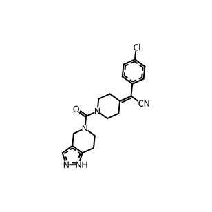 N#CC(=C1CCN(C(=O)N2CCc3[nH]ncc3C2)CC1)c1ccc(Cl)cc1